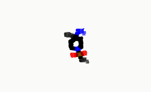 CC(C)(C)C1(N)CCN(S(C)(=O)=O)CC1